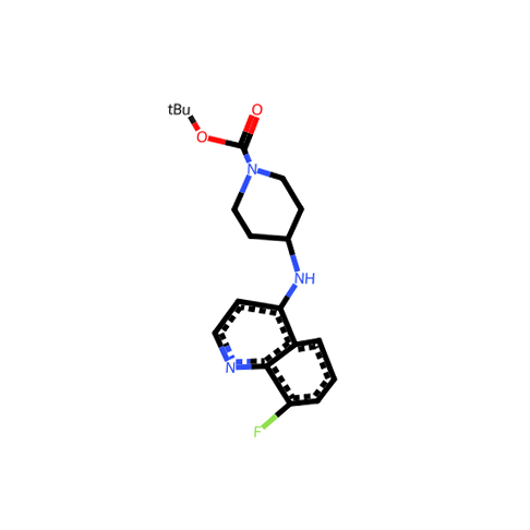 CC(C)(C)OC(=O)N1CCC(Nc2ccnc3c(F)cccc23)CC1